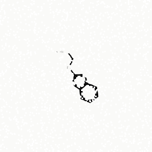 CCCCCCCCNc1nc2ccccc2s1